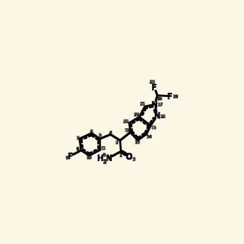 NC(=O)C(Cc1ccc(F)cc1)c1ccc2nn(C(F)F)cc2c1